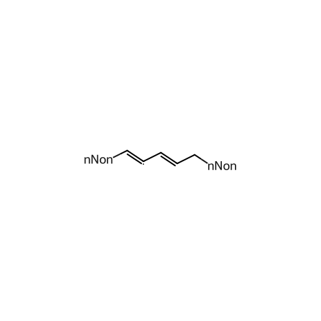 CCCCCCCCC/C=[C]/C=CCCCCCCCCCC